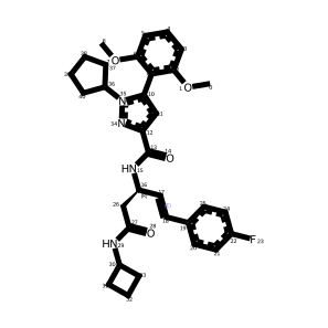 COc1cccc(OC)c1-c1cc(C(=O)N[C@@H](/C=C/c2ccc(F)cc2)CC(=O)NC2CCC2)nn1C1CCCC1